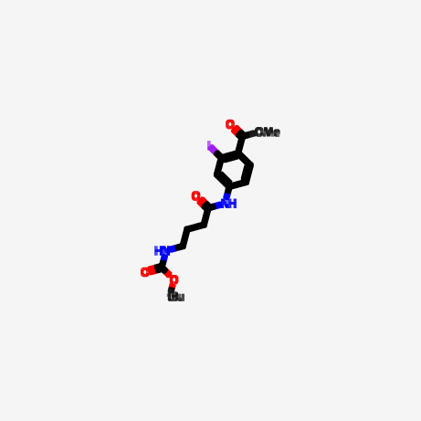 COC(=O)c1ccc(NC(=O)CCCNC(=O)OC(C)(C)C)cc1I